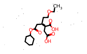 CCOCCC(CC(=O)OC1CCCCC1)=C(CC(=O)O)C(=O)O